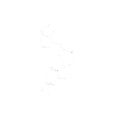 C=C1CCN(c2ncc(C(F)(F)F)cc2F)C/C1=C(/C)c1cccc2[nH]ccc12